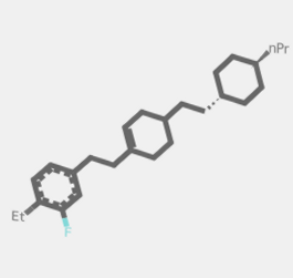 CCC[C@H]1CC[C@H](CCC2CC=C(CCc3ccc(CC)c(F)c3)CC2)CC1